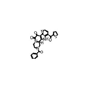 O=C1C(=O)N2CCN(C(=O)c3ccccc3)C[C@H]2c2[nH]c3c(C(=O)c4cccs4)ccnc3c21